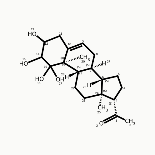 CC(=O)[C@H]1CC[C@H]2[C@@H]3CC=C4CC(O)C(O)C(O)(O)[C@]4(C)[C@H]3CC[C@]12C